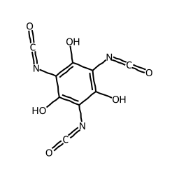 O=C=Nc1c(O)c(N=C=O)c(O)c(N=C=O)c1O